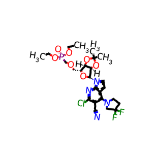 CCOP(=O)(COC[C@H]1O[C@@H](n2ccc3c(N4CCC(F)(F)C4)c(C#N)c(Cl)nc32)[C@@H]2OC(C)(C)O[C@@H]21)OCC